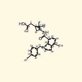 C[C@H]1C2(CC(=O)O)CC1(NC(=O)c1ccc(F)c3ccn(Cc4ccc(I)cc4)c13)C2